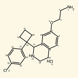 Cl.NCCOc1ccc2c(c1)C(C1(c3ccc(Cl)cc3)CCC1)NCC2